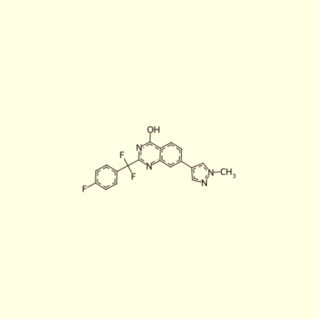 Cn1cc(-c2ccc3c(O)nc(C(F)(F)c4ccc(F)cc4)nc3c2)cn1